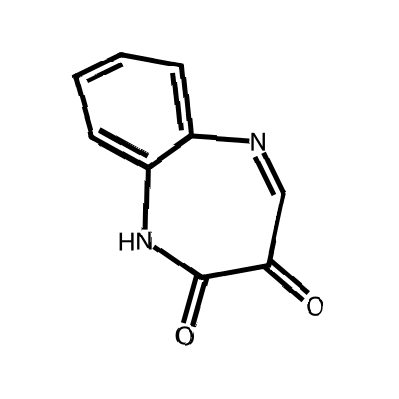 O=c1cnc2ccccc2[nH]c1=O